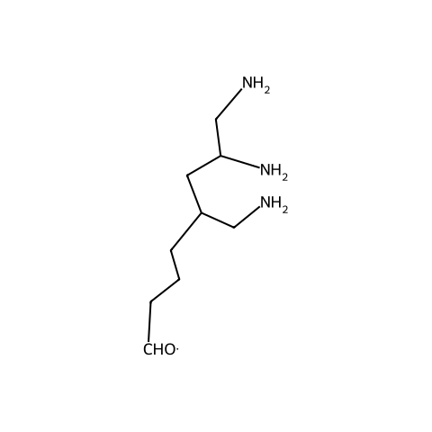 NCC(N)CC(CN)CCC[C]=O